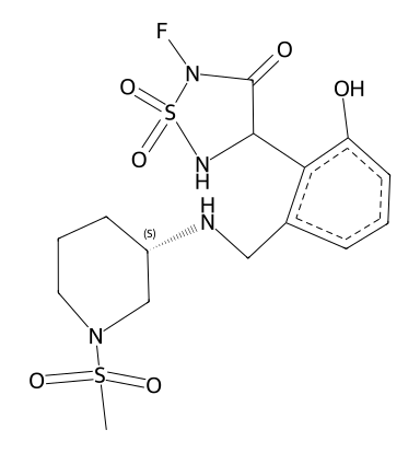 CS(=O)(=O)N1CCC[C@H](NCc2cccc(O)c2C2NS(=O)(=O)N(F)C2=O)C1